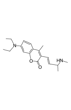 CCN(CC)c1ccc2c(C)c(/C=C/C(C)NC)c(=O)oc2c1